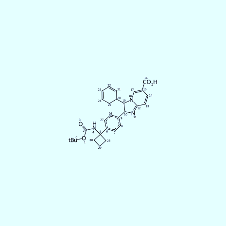 CC(C)(C)OC(=O)NC1(c2ccc(C3N=C4C=CC(C(=O)O)=CN4C3C3C=CC=CC3)cc2)CCC1